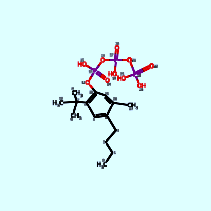 CCCCc1cc(C(C)(C)C)c(OP(=O)(O)OP(=O)(O)OP(=O)(O)O)cc1C